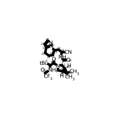 CC(C)(C)C(NC(=O)C(F)(F)F)C(=O)N1C[C@H]2[C@@H]([C@H]1C(=O)NC(C#N)CC1CCCc3ccnn31)C2(C)C